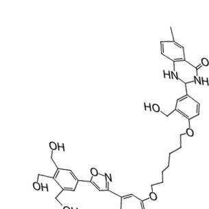 COc1ccc(-c2cc(-c3cc(CO)c(CO)c(CO)c3)on2)cc1OCCCCCCCOc1ccc(C2NC(=O)c3cc(C)ccc3N2)cc1CO